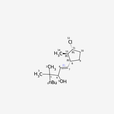 CCCCC(C)(C)C(O)/C=C/[C@H]1CC[C@@H](Cl)[C@@H]1C